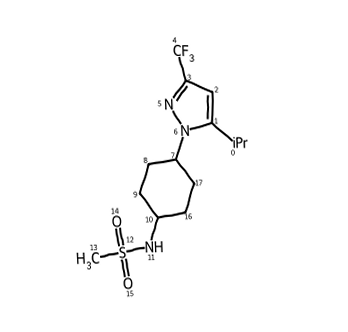 CC(C)c1cc(C(F)(F)F)nn1C1CCC(NS(C)(=O)=O)CC1